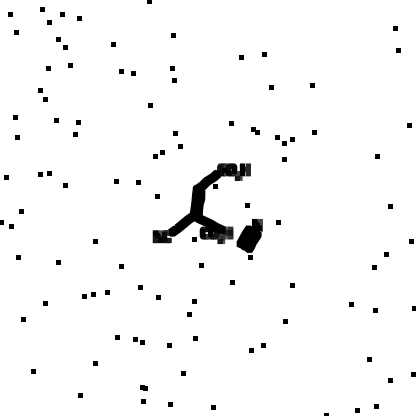 C#N.N#C/C(=C/C(=O)O)C(=O)O